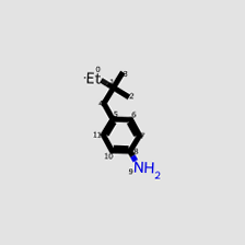 C[CH]C(C)(C)Cc1ccc(N)cc1